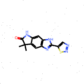 CC1(C)C(=O)Nc2cc3[nH]c(-c4cnns4)nc3cc21